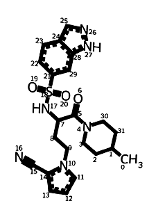 CC1CCN(C(=O)C(CCn2cccc2C#N)NS(=O)(=O)c2ccc3cn[nH]c3c2)CC1